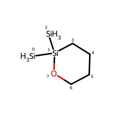 [SiH3][Si]1([SiH3])CCCCO1